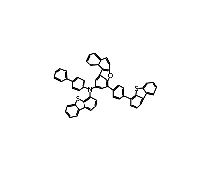 c1ccc(-c2ccc(N(c3cc(-c4ccc(-c5cccc6c5sc5ccccc56)cc4)c4oc5ccc6ccccc6c5c4c3)c3cccc4c3sc3ccccc34)cc2)cc1